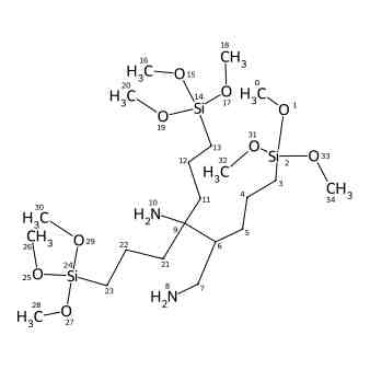 CO[Si](CCCC(CN)C(N)(CCC[Si](OC)(OC)OC)CCC[Si](OC)(OC)OC)(OC)OC